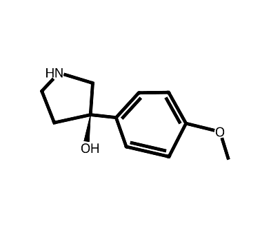 COc1ccc([C@]2(O)CCNC2)cc1